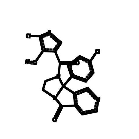 COc1c(C(=O)N2CCN3C(=O)c4ccncc4C32c2ccc(Cl)cc2)csc1Cl